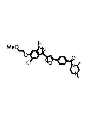 COCCOc1cc2[nH]nc(-c3cc(-c4ccc(C(=O)N5CCN(C)C[C@@H]5C)cc4)on3)c2cc1Cl